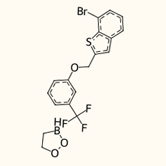 B1CCOO1.FC(F)(F)c1cccc(OCc2cc3cccc(Br)c3s2)c1